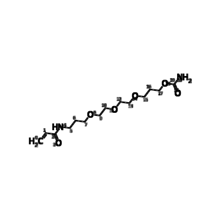 C=CC(=O)NCCCOCCOCCOCCCOC(N)=O